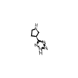 C1C[C@H](c2nn[nH]n2)CN1